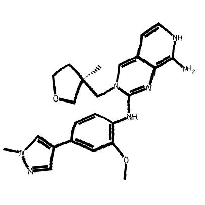 COc1cc(-c2cnn(C)c2)ccc1NC1=NC2=C(N)NC=CC2=CN1C[C@]1(C)CCOC1